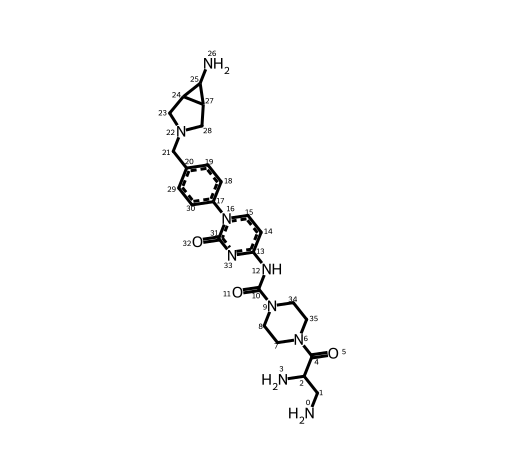 NCC(N)C(=O)N1CCN(C(=O)Nc2ccn(-c3ccc(CN4CC5C(N)C5C4)cc3)c(=O)n2)CC1